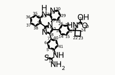 NC(=S)Nc1ccc(-c2nc3n(c2-c2ccc(C4(NC(=O)O)CCC4)cc2)-c2cccnc2Nc2ccccc2-3)cc1